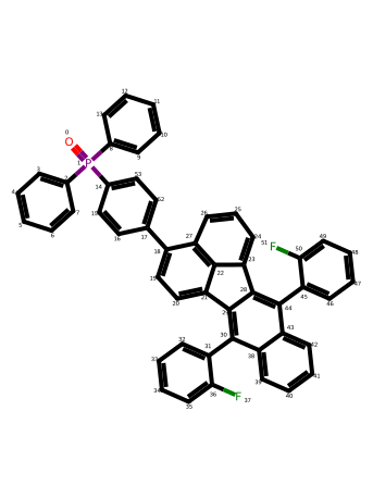 O=P(c1ccccc1)(c1ccccc1)c1ccc(-c2ccc3c4c(cccc24)-c2c-3c(-c3ccccc3F)c3ccccc3c2-c2ccccc2F)cc1